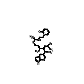 C=C(\N=C/C=C(N)/C(=C/N(N)C(C)C)C(=C)c1cnc2[nH]ccc2c1)NCCn1ccccc1=O